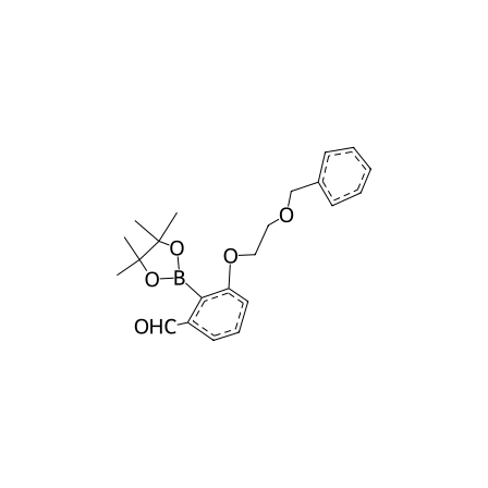 CC1(C)OB(c2c(C=O)cccc2OCCOCc2ccccc2)OC1(C)C